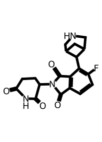 O=C1CCC(N2C(=O)c3ccc(F)c(C4C5CNCC4C5)c3C2=O)C(=O)N1